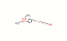 CCOP(=O)(Cc1ccc(CCSCCOCCCO)cc1)OCC